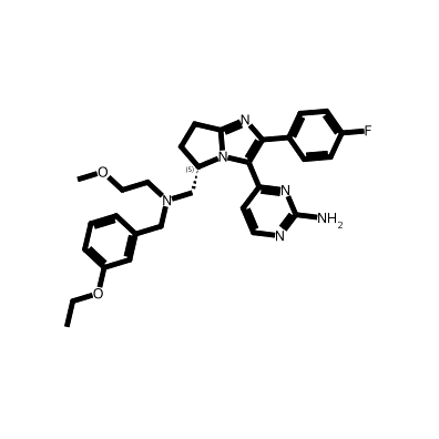 CCOc1cccc(CN(CCOC)C[C@@H]2CCc3nc(-c4ccc(F)cc4)c(-c4ccnc(N)n4)n32)c1